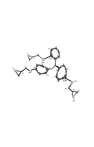 c1ccc(C(c2ccc(OCC3CO3)cc2)c2ccc(OCC3CO3)cc2)c(OCC2CO2)c1